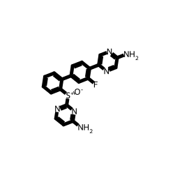 Nc1cnc(-c2ccc(-c3ccccc3[S+]([O-])c3nccc(N)n3)cc2F)cn1